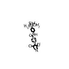 C[Si](C)(C)c1ccc(NC(=O)N2CCN(c3c(Cl)cncc3Cl)CC2)cc1